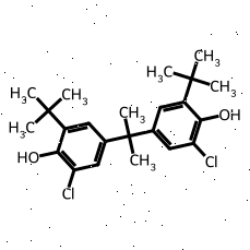 CC(C)(C)c1cc(C(C)(C)c2cc(Cl)c(O)c(C(C)(C)C)c2)cc(Cl)c1O